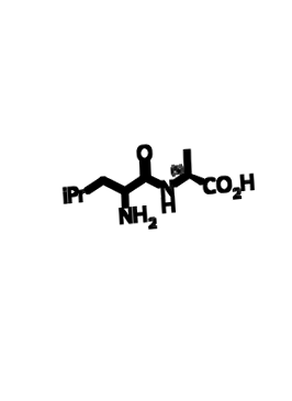 CC(C)CC(N)C(=O)N[C@@H](C)C(=O)O